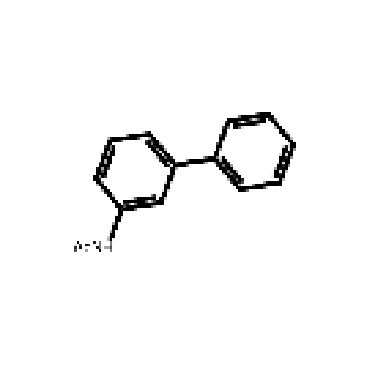 [CH2]C(=O)Nc1cccc(-c2ccccc2)c1